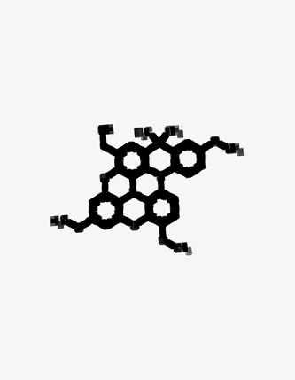 COc1cc2c3c(c1)Oc1c(CO)cc4c5c1B3c1c(ccc(OC)c1O2)N5c1ccc(OC)cc1C4(C)C